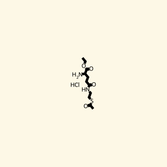 CCOC(=O)C(N)CCC(=O)NCCSC(C)=O.Cl